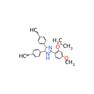 C#Cc1ccc(C2N=C(c3ccc(OC)cc3OC(C)C)NC2c2ccc(C#C)cc2)cc1